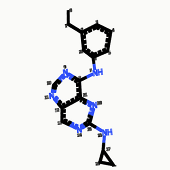 CCc1cccc(Nc2ncnc3cnc(NC4CC4)nc23)c1